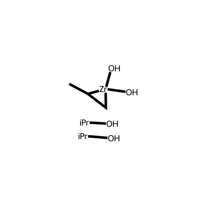 CC(C)O.CC(C)O.C[CH]1[CH2][Zr]1([OH])[OH]